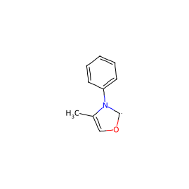 CC1=CO[CH]N1c1ccccc1